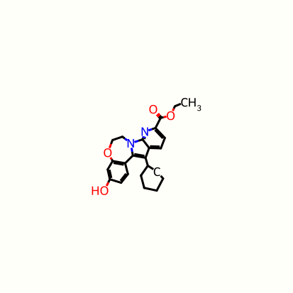 CCOC(=O)c1ccc2c(C3CCCCC3)c3n(c2n1)CCOc1cc(O)ccc1-3